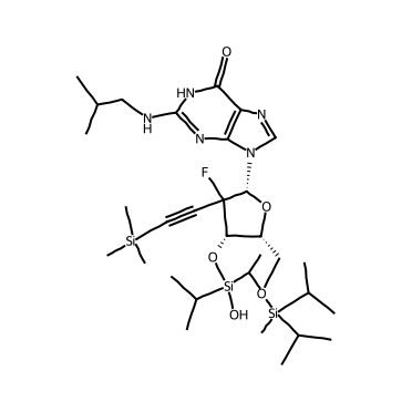 CC(C)CNc1nc2c(ncn2[C@@H]2O[C@H](CO[Si](C)(C(C)C)C(C)C)[C@H](O[Si](O)(C(C)C)C(C)C)C2(F)C#C[Si](C)(C)C)c(=O)[nH]1